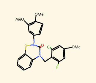 COc1cc(F)c(CN2C(=O)N(c3ccc(OC)c(OC)c3)Sc3ccccc32)c(Cl)c1